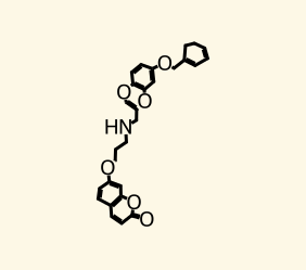 O=c1ccc2ccc(OCCCNCC3=COc4ccc(OCC5=CC=CCC5)cc4O3)cc2o1